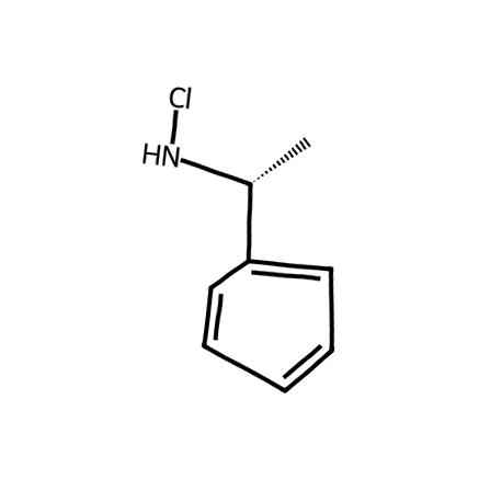 C[C@@H](NCl)c1ccccc1